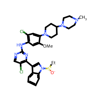 CC[S+]([O-])n1cc(-c2nc(Nc3cc(OC)c(N4CCC(N5CCN(C)CC5)CC4)cc3Cl)ncc2Cl)c2ccccc21